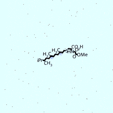 COC(=O)C(=O)N[C@@H](CSC/C=C(\C)CC/C=C(\C)CCC(C)C(C)C)C(=O)O